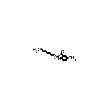 CCCCCCCCSc1nc2ccc(C)cc2c(=O)o1